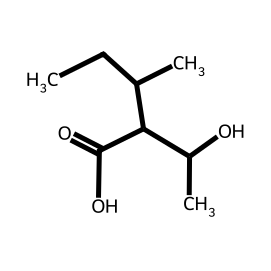 CCC(C)C(C(=O)O)C(C)O